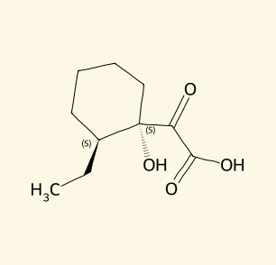 CC[C@H]1CCCC[C@@]1(O)C(=O)C(=O)O